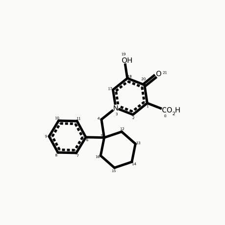 O=C(O)c1cn(CC2(c3ccccc3)CCCCC2)cc(O)c1=O